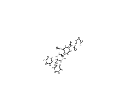 N#Cc1cc(NC(=O)[C@H]2CCOC2)ccc1N1CCC(C(c2ccccc2)c2ccccc2)CC1